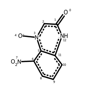 O=c1c[n+]([O-])c2c([N+](=O)[O-])cccc2[nH]1